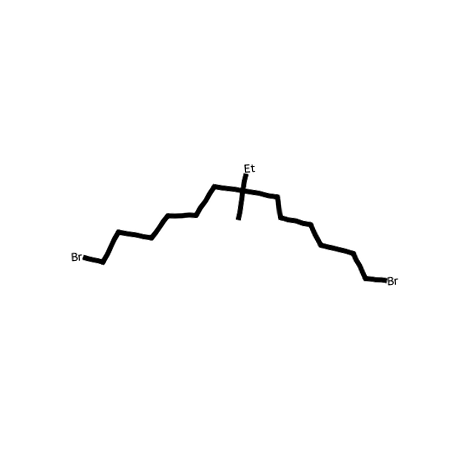 CCC(C)(CCCCCCBr)CCCCCCBr